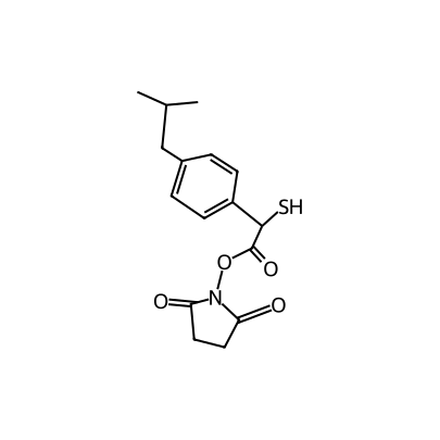 CC(C)Cc1ccc(C(S)C(=O)ON2C(=O)CCC2=O)cc1